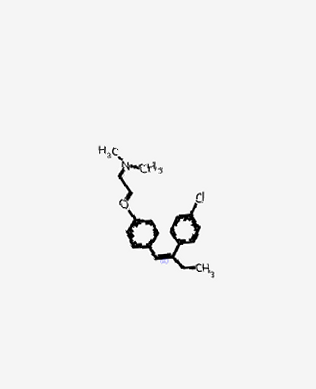 CC/C(=C/c1ccc(OCCN(C)C)cc1)c1ccc(Cl)cc1